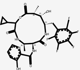 C[C@H]1NC(=O)C(C2CC2)OC(=O)[C@H](C)[C@H](O)[C@H](Cc2c(F)c(F)c(F)c(F)c2F)NC(=O)[C@H]1NC(=O)c1ncccc1O